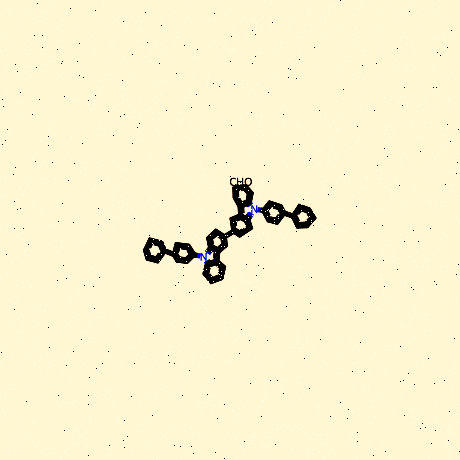 O=Cc1ccc2c(c1)c1cc(-c3ccc4c(c3)c3ccccc3n4-c3ccc(-c4ccccc4)cc3)ccc1n2-c1ccc(-c2ccccc2)cc1